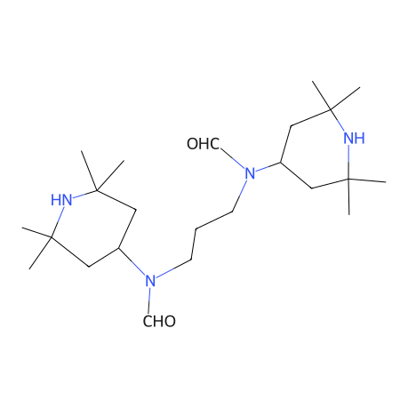 CC1(C)CC(N(C=O)CCCN(C=O)C2CC(C)(C)NC(C)(C)C2)CC(C)(C)N1